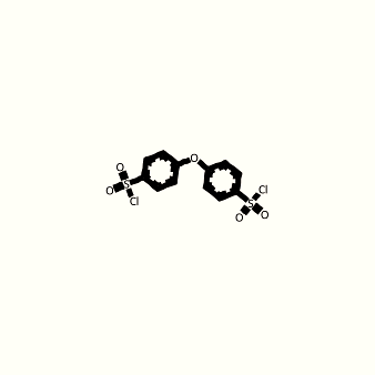 O=S(=O)(Cl)c1ccc(Oc2ccc(S(=O)(=O)Cl)cc2)cc1